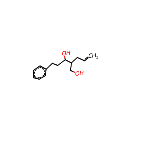 C=CCC(CO)C(O)CCc1ccccc1